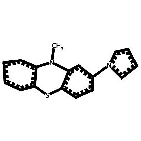 CN1c2ccccc2Sc2ccc(-n3cccc3)cc21